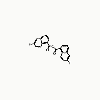 O=C(OC(=O)c1cccc2cc(F)ccc12)c1cccc2cc(F)ccc12